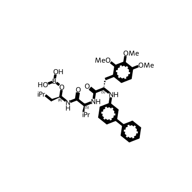 COc1ccc(C[C@H](Nc2cccc(-c3ccccc3)c2)C(=O)N[C@H](C(=O)N[C@@H](CC(C)C)OB(O)O)C(C)C)c(OC)c1OC